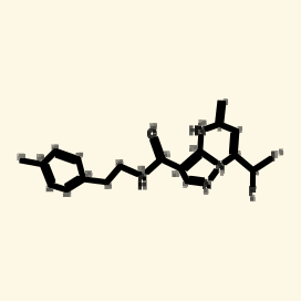 C=C1C=C(C(F)F)n2ncc(C(=O)NCCc3ccc(C)cc3)c2N1